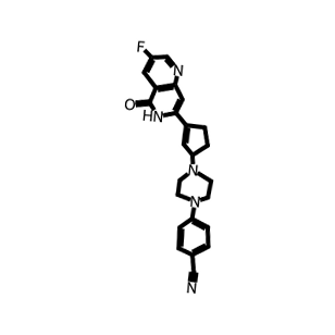 N#Cc1ccc(N2CCN(C3C=C(c4cc5ncc(F)cc5c(=O)[nH]4)CC3)CC2)cc1